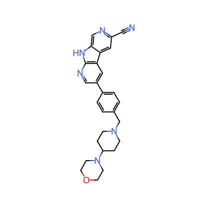 N#Cc1cc2c(cn1)[nH]c1ncc(-c3ccc(CN4CCC(N5CCOCC5)CC4)cc3)cc12